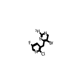 [2H]c1ncc(Br)c(Cc2cc(F)cnc2Cl)n1